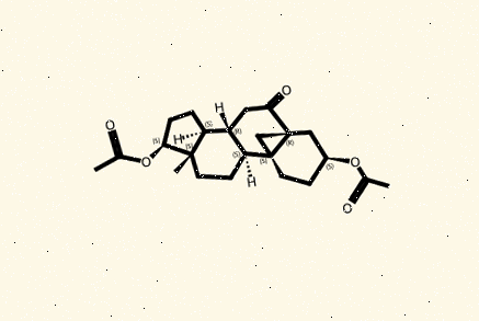 CC(=O)O[C@H]1CC[C@@]23C[C@]2(C1)C(=O)C[C@H]1[C@@H]2CC[C@H](OC(C)=O)[C@@]2(C)CC[C@@H]13